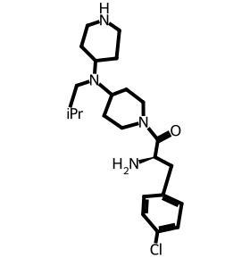 CC(C)CN(C1CCNCC1)C1CCN(C(=O)[C@H](N)Cc2ccc(Cl)cc2)CC1